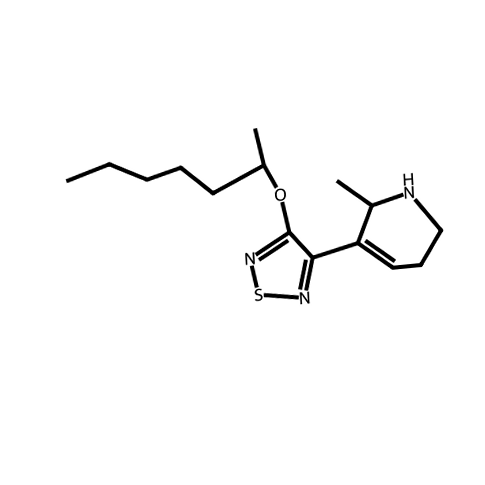 CCCCCC(C)Oc1nsnc1C1=CCCNC1C